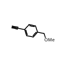 C#Cc1ccc(COC)cc1